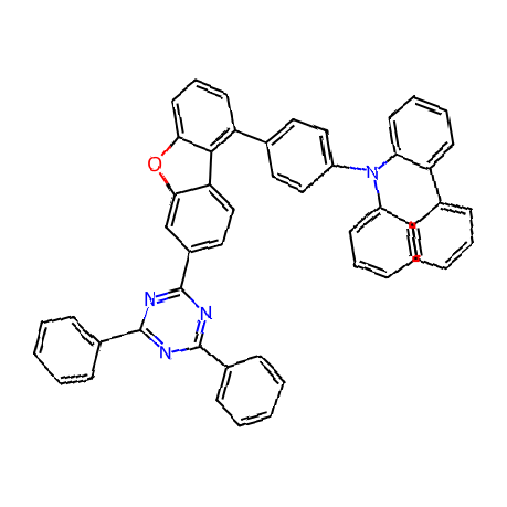 c1ccc(-c2nc(-c3ccccc3)nc(-c3ccc4c(c3)oc3cccc(-c5ccc(N(c6ccccc6)c6ccccc6-c6ccccc6)cc5)c34)n2)cc1